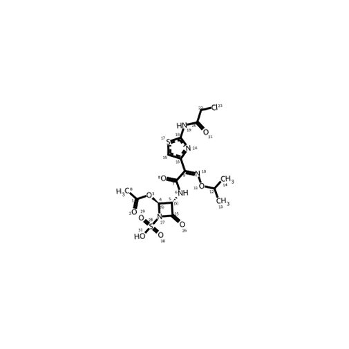 CC(=O)O[C@H]1[C@H](NC(=O)C(=NOC(C)C)c2csc(NC(=O)CCl)n2)C(=O)N1S(=O)(=O)O